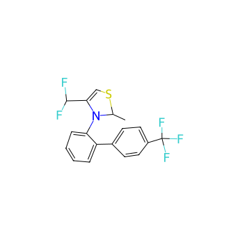 CC1SC=C(C(F)F)N1c1ccccc1-c1ccc(C(F)(F)F)cc1